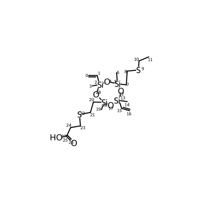 C=C[Si]1(C)O[Si](C)(CCSCC)O[Si](C)(C=C)O[Si](C)(CCSCCC(=O)O)O1